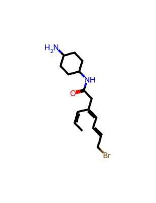 C\C=C/C(=C\C=C\CBr)CC(=O)NC1CCC(N)CC1